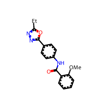 CCc1nnc(-c2ccc(NC(=O)c3ccccc3OC)cc2)o1